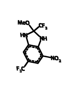 COC1(C(F)(F)F)Nc2cc(C(F)(F)F)cc([N+](=O)[O-])c2N1